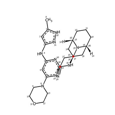 Cc1cc(Nc2cc(N3CCOCC3)nc(N[C@@H]3C[C@H]4CCC[C@@H](C3)N4CCC#N)n2)n[nH]1